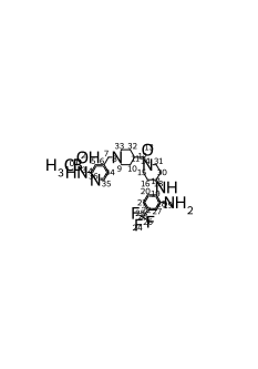 CB(O)Nc1cc(CN2CCC(C(=O)N3CCC(Nc4ccc(C(F)(F)F)cc4N)CC3)CC2)ccn1